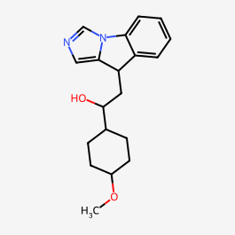 COC1CCC(C(O)CC2c3ccccc3-n3cncc32)CC1